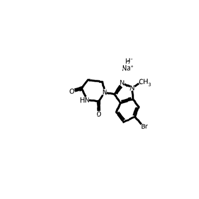 Cn1nc(N2CCC(=O)NC2=O)c2ccc(Br)cc21.[H-].[Na+]